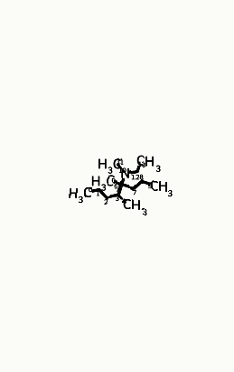 CCCC(C)C(C)(CCC)N(C)CC